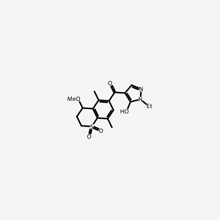 CCn1ncc(C(=O)c2cc(C)c3c(c2C)C(OC)CCS3(=O)=O)c1O